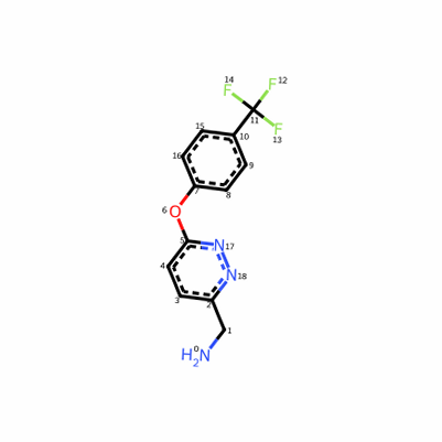 NCc1ccc(Oc2ccc(C(F)(F)F)cc2)nn1